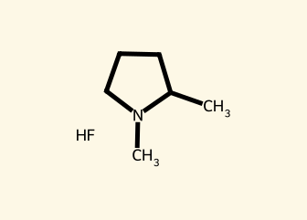 CC1CCCN1C.F